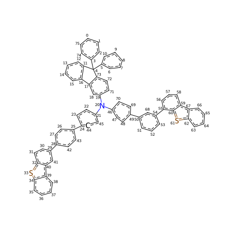 c1ccc(C2(c3ccccc3)c3ccccc3-c3cc(N(c4ccc(-c5ccc(-c6ccc7sc8ccccc8c7c6)cc5)cc4)c4ccc(-c5cccc(-c6cccc7c6sc6ccccc67)c5)cc4)ccc32)cc1